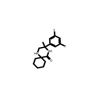 CC1(c2cc(F)cc(F)c2)CNC2(CCCCC2)C(=O)N1